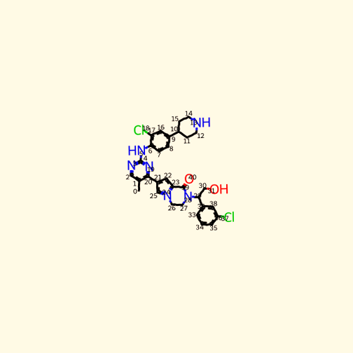 Cc1cnc(Nc2ccc(C3CCNCC3)cc2Cl)nc1-c1cc2n(c1)CCN(C(CO)c1cccc(Cl)c1)C2=O